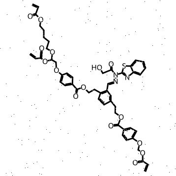 C=CC(=O)OCCCCCOC(COc1ccc(C(=O)OCCc2ccc(CCOC(=O)c3ccc(OCOC(=O)C=C)cc3)cc2/C=N/N(C(=O)CO)c2nc3ccccc3s2)cc1)OC(=O)C=C